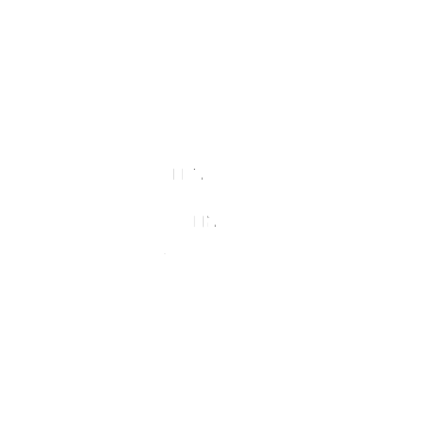 NC1CC/C=C/CCC1NCC(=O)S